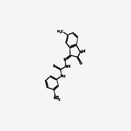 Cc1ccc2c(c1)/C(=N/NC(=S)Nc1cccc([N+](=O)[O-])c1)C(=O)N2